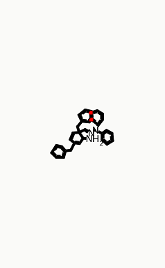 NC1C=C(Cc2ccccc2)C=CC1(C=NN(c1ccccc1)c1ccccc1)Cc1ccccc1